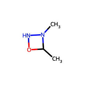 CC1ONN1C